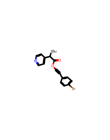 CC(C)(C)C(C(=O)OC#Cc1ccc(Br)cc1)c1ccncc1